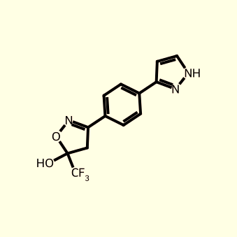 OC1(C(F)(F)F)CC(c2ccc(-c3cc[nH]n3)cc2)=NO1